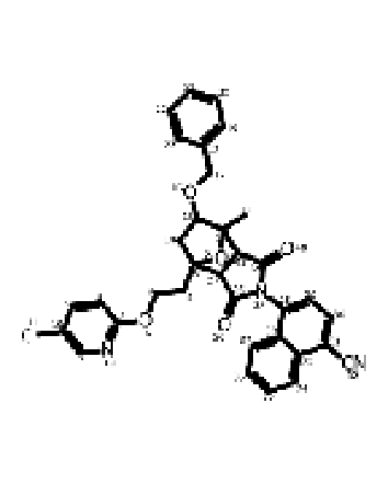 CC12OC(CCOc3ccc(Cl)cn3)(CC1OCc1ccccc1)C1C(=O)N(c3ccc(C#N)c4ccccc34)C(=O)C12